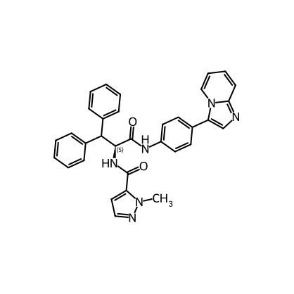 Cn1nccc1C(=O)N[C@H](C(=O)Nc1ccc(-c2cnc3ccccn23)cc1)C(c1ccccc1)c1ccccc1